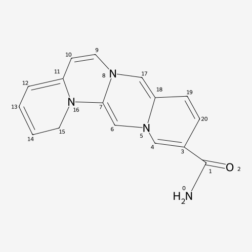 NC(=O)C1=CN2C=C3N(C=CC4=CC=CCN43)C=C2C=C1